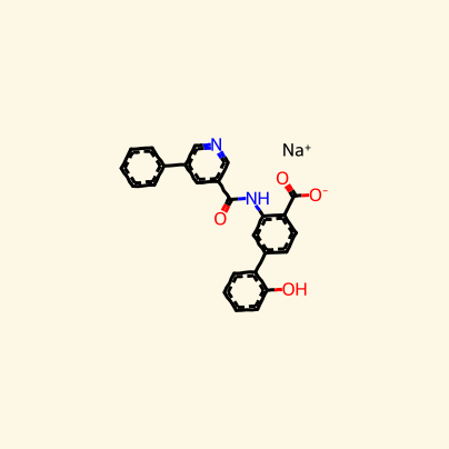 O=C(Nc1cc(-c2ccccc2O)ccc1C(=O)[O-])c1cncc(-c2ccccc2)c1.[Na+]